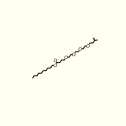 CCCCCCCCCCOC(=O)CCCOCCOCCOCCOCCC(C)C